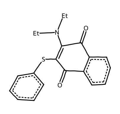 CCN(CC)C1=C(Sc2ccccc2)C(=O)c2ccccc2C1=O